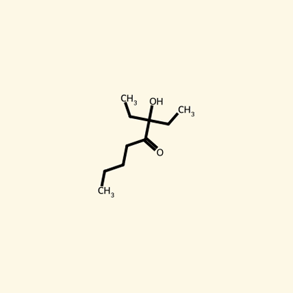 CCCCC(=O)C(O)(CC)CC